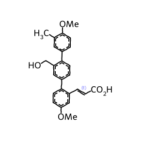 COc1ccc(-c2ccc(-c3ccc(OC)c(C)c3)c(CO)c2)c(/C=C/C(=O)O)c1